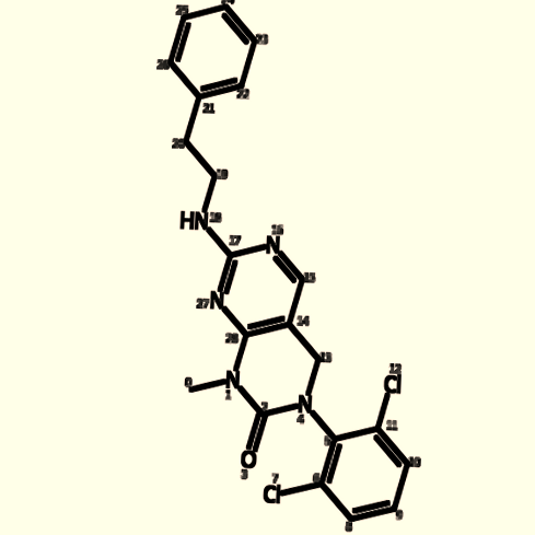 CN1C(=O)N(c2c(Cl)cccc2Cl)Cc2cnc(NCCc3ccccc3)nc21